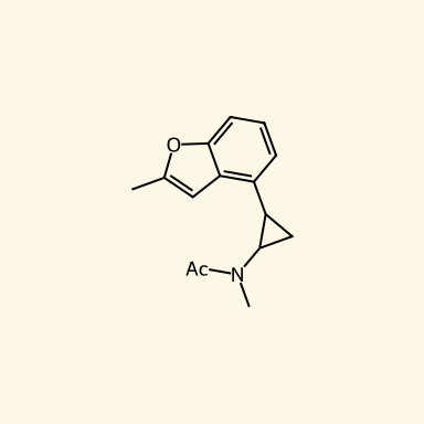 CC(=O)N(C)C1CC1c1cccc2oc(C)cc12